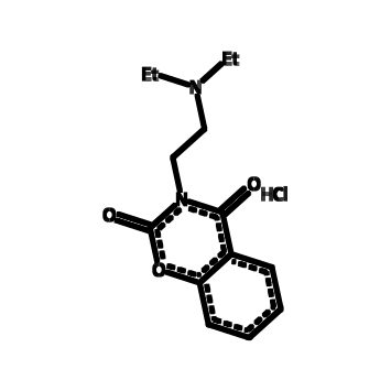 CCN(CC)CCn1c(=O)oc2ccccc2c1=O.Cl